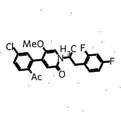 COc1cn(C(C)Cc2ccc(F)cc2F)c(=O)cc1-c1cc(Cl)ccc1C(C)=O